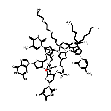 CCCCCC(CCCCC)[C@@H]1C[C@H](n2ccc(N)nc2=O)OC1COP(=S)(OCCOCCOCCN)O[C@@H]1C[C@H](n2cc(C)c(=O)[nH]c2=O)OC1COP(=O)(S)O[C@@H]1C[C@H](n2cnc3c(=O)[nH]c(N)nc32)OC1COP(=O)(S)O[C@@H]1C[C@H](n2ccc(N)nc2=O)OC1COP(=O)(S)O[C@@H]1C[C@H](n2cc(Br)c(=O)[nH]c2=O)OC1CO